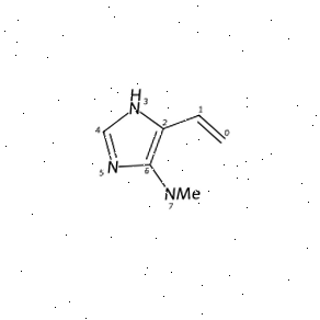 C=Cc1[nH]cnc1NC